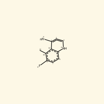 CCCC1=C=CNc2ccc(F)c(C)c21